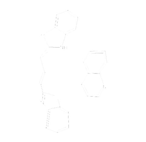 C(=Cc1nc2ccccc2o1)C=C1Nc2ccccc2O1.c1ccc2ncccc2c1